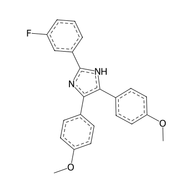 COc1ccc(-c2nc(-c3cccc(F)c3)[nH]c2-c2ccc(OC)cc2)cc1